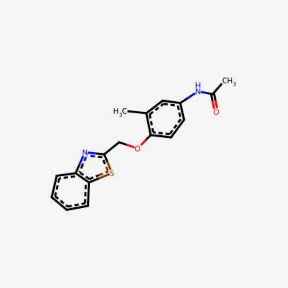 CC(=O)Nc1ccc(OCc2nc3ccccc3s2)c(C)c1